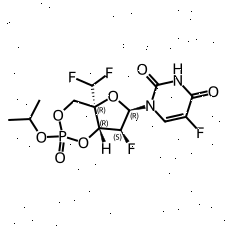 CC(C)OP1(=O)OC[C@@]2(C(F)F)O[C@@H](n3cc(F)c(=O)[nH]c3=O)[C@@H](F)[C@@H]2O1